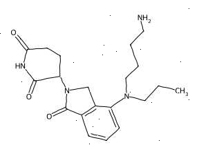 CCCN(CCCCN)c1cccc2c1CN(C1CCC(=O)NC1=O)C2=O